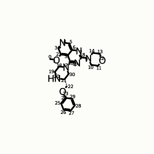 COc1cncc2nc(N3CCOCC3)nc(N3CCN[C@@H](COc4ccccc4)C3)c12